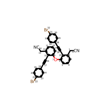 N#CCc1cccc(Oc2cccc(CC#N)c2C#Cc2ccc(Br)cc2)c1C#Cc1ccc(Br)cc1